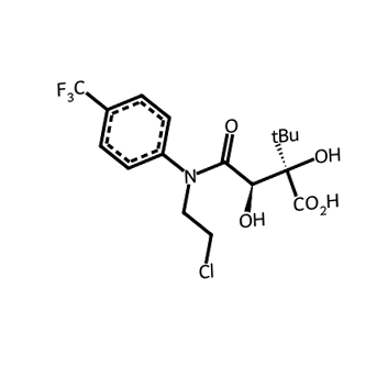 CC(C)(C)[C@](O)(C(=O)O)[C@@H](O)C(=O)N(CCCl)c1ccc(C(F)(F)F)cc1